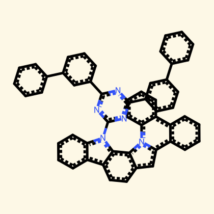 c1ccc(-c2cccc(-c3nc(-c4cccc(-c5ccccc5)c4)nc(-n4c5ccccc5c5ccc6cc7c8ccccc8c8ccccc8n7c6c54)n3)c2)cc1